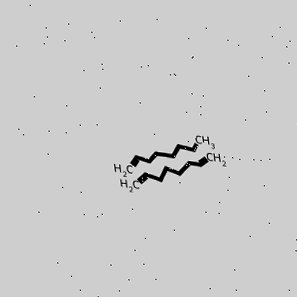 C=CCCCCC=C.C=CCCCCCC